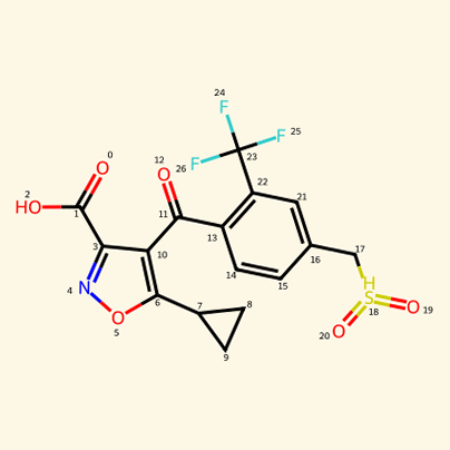 O=C(O)c1noc(C2CC2)c1C(=O)c1ccc(C[SH](=O)=O)cc1C(F)(F)F